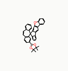 CC1(C)OB(c2ccc3c(c2)C2(c4ccccc4C=C3)c3ccccc3-c3cc4c(cc32)oc2ccccc24)OC1(C)C